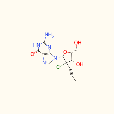 CC#CC1(Cl)[C@@H](O)[C@@H](CO)O[C@H]1n1cnc2c(=O)[nH]c(N)nc21